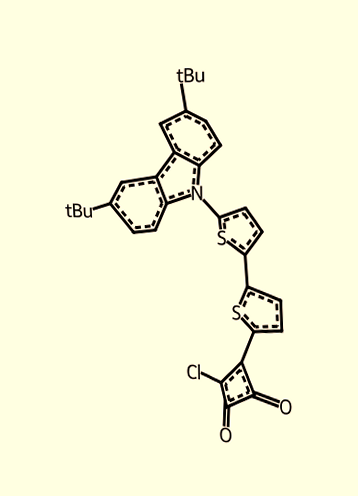 CC(C)(C)c1ccc2c(c1)c1cc(C(C)(C)C)ccc1n2-c1ccc(-c2ccc(-c3c(Cl)c(=O)c3=O)s2)s1